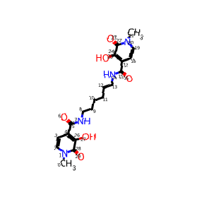 Cn1ccc(C(=O)NCCCCCCNC(=O)c2ccn(C)c(=O)c2O)c(O)c1=O